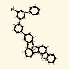 N#Cc1cc(-c2ccccc2)cc(-c2cccc(-c3ccc4c(c3)c3cccc5c6c7oc8ccccc8c7ccc6n4c35)c2)c1